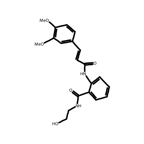 COc1ccc(C=CC(=O)Nc2ccccc2C(=O)NCCO)cc1OC